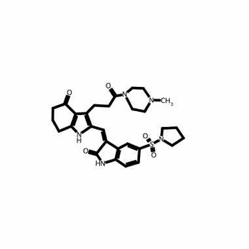 CN1CCN(C(=O)CCc2c(C=C3C(=O)Nc4ccc(S(=O)(=O)N5CCCC5)cc43)[nH]c3c2C(=O)CCC3)CC1